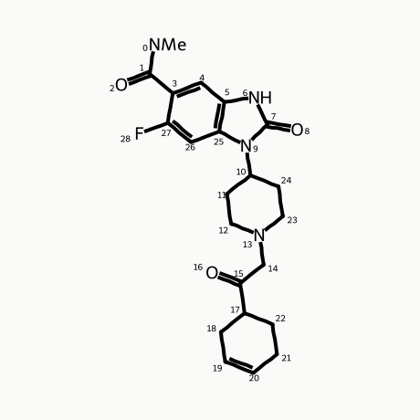 CNC(=O)c1cc2[nH]c(=O)n(C3CCN(CC(=O)C4CC=CCC4)CC3)c2cc1F